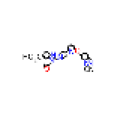 N#CCn1ncc2ccc(COc3cccc(C4CCN(Cc5nc6ccc(C(=O)O)cc6n5CC5CCO5)CC4)n3)cc21